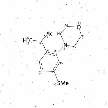 CSc1ccc(C(C)C(C)=O)c(N2CCOCC2)c1